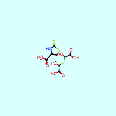 O=C(O)C(O)SC(O)C(=O)O.O=C(O)C1CSC(=S)N1